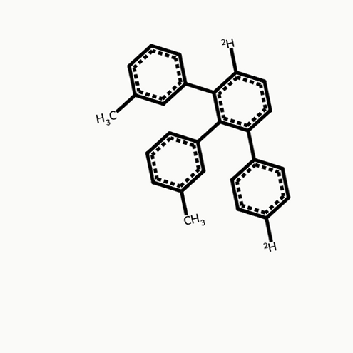 [2H]c1ccc(-c2ccc([2H])c(-c3cccc(C)c3)c2-c2cccc(C)c2)cc1